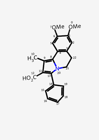 COc1cc2c(cc1OC)-c1c(C)c(C(=O)O)c(-c3ccccc3)n1CC2